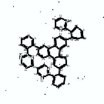 c1cnc(-c2ccccc2-c2ccc3c(c2)c2ccc(-c4ccccc4-c4ncccn4)cc2c2ccc(-c4ccccc4-c4ncccn4)cc32)nc1